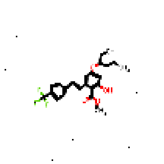 CCCC(CC)Oc1cc(O)c(C(=O)OC)c(C=Cc2ccc(C(F)(F)F)cc2)c1